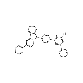 Clc1nc(-c2ccccc2)nc(-c2ccc(-n3c4ccccc4c4cc(-c5ccccc5)ccc43)cc2)n1